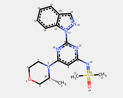 C[C@@H]1COCCN1c1cc(N=S(C)(C)=O)nc(-n2ncc3ccccc32)n1